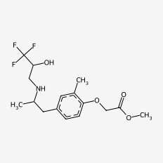 COC(=O)COc1ccc(CC(C)NCC(O)C(F)(F)F)cc1C